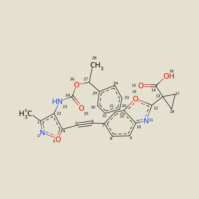 Cc1noc(C#Cc2ccc3nc(C4(C(=O)O)CC4)oc3c2)c1NC(=O)OC(C)c1ccccc1